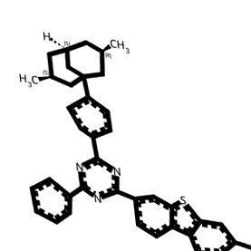 C[C@@H]1C[C@@H]2C[C@H](C)CC(c3ccc(-c4nc(-c5ccccc5)nc(-c5ccc6c(c5)sc5cc(C#N)ccc56)n4)cc3)(C1)C2